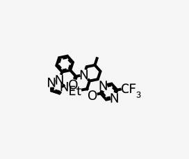 CCC(Oc1cnc(C(F)(F)F)cn1)C1CCC(C)CN1C(=O)c1ccccc1-n1nccn1